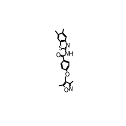 Cc1cc2nc(NC(=O)c3ccc(OCc4c(C)noc4C)cc3)sc2cc1C